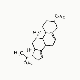 CC(=O)OC(C)[C@H]1CC=C2C3CC=C4C[C@@H](OC(C)=O)CC[C@]4(C)C3CC[C@@H]21